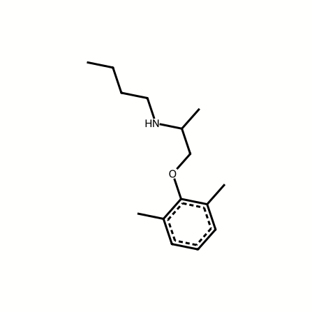 CCCCNC(C)COc1c(C)cccc1C